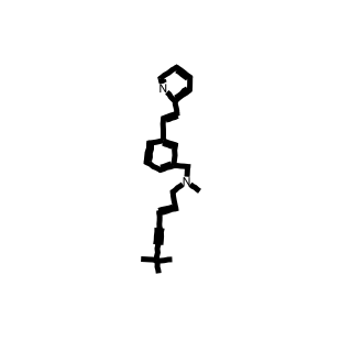 CN(CC=CC#CC(C)(C)C)Cc1cccc(C=Cc2ccccn2)c1